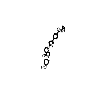 O=C(NC1CC1)c1ccc(-c2ccc(N3CCCC4(CCN([C@H]5CC[C@H](O)CC5)C4=O)C3)nc2)cc1